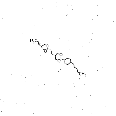 CC=C[C@H]1CO[C@H](CC[C@H]2CO[C@H]([C@H]3CC[C@H](CCCCC)CC3)OC2)OC1